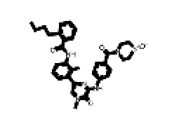 CCCCc1ccccc1C(=O)Nc1cccc(-c2cn(C)c(=O)c(Nc3ccc(C(=O)N4CC[S+]([O-])CC4)cc3)n2)c1C